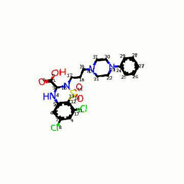 O=C(O)C1Nc2cc(Cl)cc(Cl)c2S(=O)(=O)N1CCCN1CCN(c2ccccc2)CC1